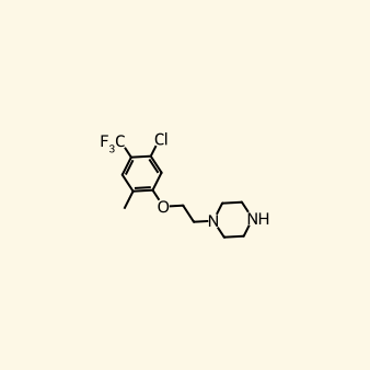 Cc1cc(C(F)(F)F)c(Cl)cc1OCCN1CCNCC1